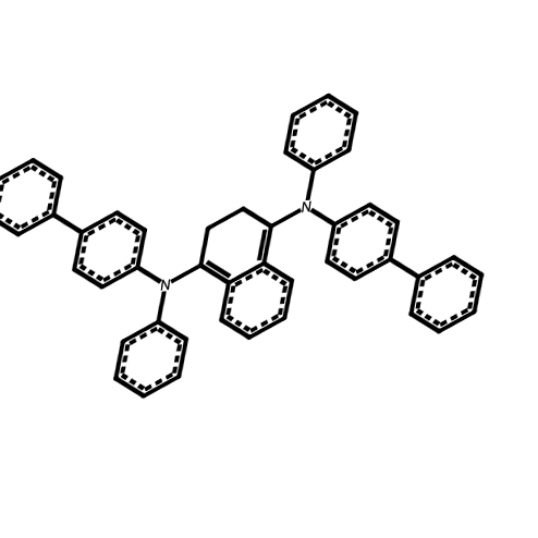 c1ccc(-c2ccc(N(C3=c4ccccc4=C(N(c4ccccc4)c4ccc(-c5ccccc5)cc4)CC3)c3ccccc3)cc2)cc1